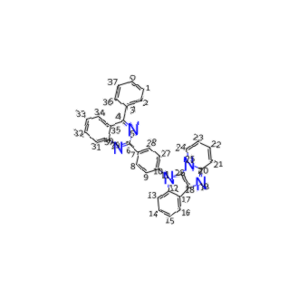 c1ccc(-c2nc(-c3ccc(-n4c5ccccc5c5nc6ccccn6c54)cc3)nc3ccccc23)cc1